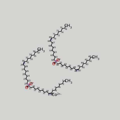 CCCCCCCC/C=C\CCCCCCCCP(=O)([O-])CCCCCCCC/C=C\CCCCCCCC.CCCCCCCC/C=C\CCCCCCCCP(=O)([O-])CCCCCCCC/C=C\CCCCCCCC.[Co+2]